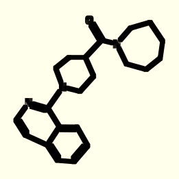 O=C(C1CCN(c2nccc3ccccc23)CC1)N1CCCCCC1